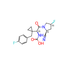 N#C[C@@H]1C[C@H](F)CN1C(=O)[C@@H](NC(=O)O)C1(Cc2ccc(F)cc2)CC1